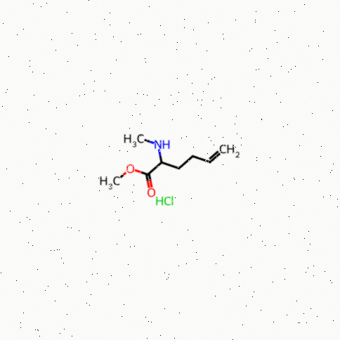 C=CCCC(NC)C(=O)OC.Cl